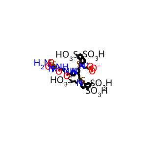 NS(=O)(=O)c1nnc(NC(=O)CCNC(=O)c2ccc(C(=C\C=C3/Sc4c(ccc5c(S(=O)(=O)O)cc(S(=O)(=O)O)cc45)N3CCCS(=O)(=O)O)/C=C/c3sc4c5cc(S(=O)(=O)O)cc(S(=O)(=O)O)c5ccc4[n+]3CCCS(=O)(=O)[O-])nc2)s1